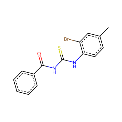 Cc1ccc(NC(=S)NC(=O)c2ccccc2)c(Br)c1